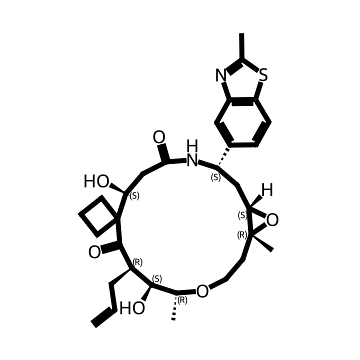 C=CC[C@H]1C(=O)C2(CCC2)[C@@H](O)CC(=O)N[C@H](c2ccc3sc(C)nc3c2)C[C@@H]2O[C@]2(C)CCO[C@H](C)[C@H]1O